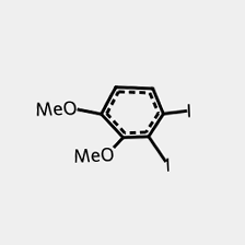 COc1ccc(I)c(I)c1OC